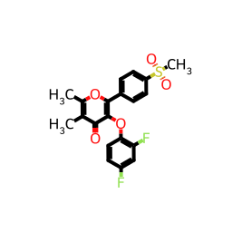 Cc1oc(-c2ccc(S(C)(=O)=O)cc2)c(Oc2ccc(F)cc2F)c(=O)c1C